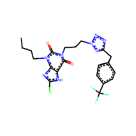 CCCCn1c(=O)n(CCCn2nnc(Cc3ccc(C(F)(F)F)cc3)n2)c(=O)c2[nH]c(Cl)nc21